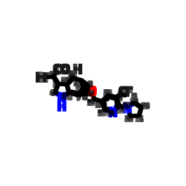 CCC(C(=O)O)C1CNC2=C3C=CC(=C3OCc3cnc(N4CCCC4)c(C(F)(F)F)c3)CC21